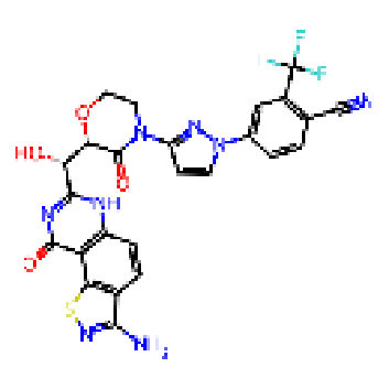 N#Cc1ccc(-n2ccc(N3CCO[C@H]([C@@H](O)c4nc(=O)c5c(ccc6c(N)nsc65)[nH]4)C3=O)n2)cc1C(F)(F)F